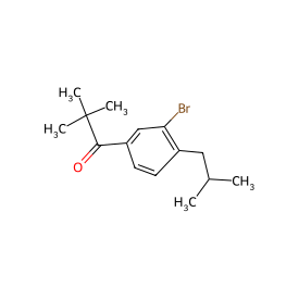 CC(C)Cc1ccc(C(=O)C(C)(C)C)cc1Br